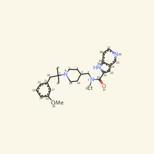 CCN(CC1CCN(C(C)(C)Cc2cccc(OC)c2)CC1)C(=O)c1cc2cnccc2[nH]1